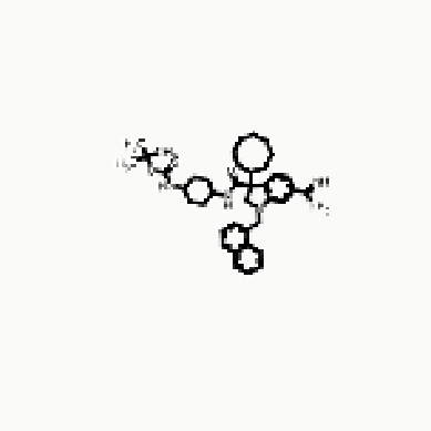 CC(C)(C)OC(=O)NC1CCC(NC(=O)C2(C3CCCCCCC3)CN(Cc3cccc4ccccc34)c3cc(C(=N)N)ccc32)CC1